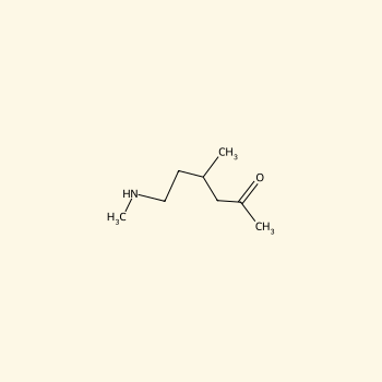 CNCCC(C)CC(C)=O